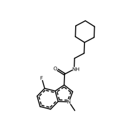 Cn1cc(C(=O)NCCC2CCCCC2)c2c(F)cccc21